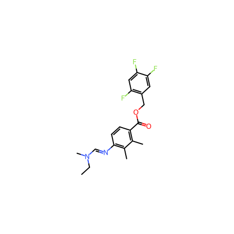 CCN(C)/C=N/c1ccc(C(=O)OCc2cc(F)c(F)cc2F)c(C)c1C